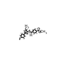 COC(=O)c1ccc(NSc2nc(-c3ccc(F)cc3)sc2C)cc1